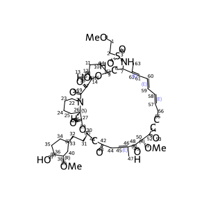 COCCS(=O)(=O)NC1C[C@@H]2CC[C@@H](C)[C@@](O)(O2)C(=O)C(=O)N2CCCC[C@H]2C(=O)O[C@H](CC[C@@H]2CC[C@@H](O)[C@H](OC)C2)CC(=O)C/C=C(\C)[C@@H](O)[C@@H](OC)C(=O)CCC/C=C/C=C/C=C/1C